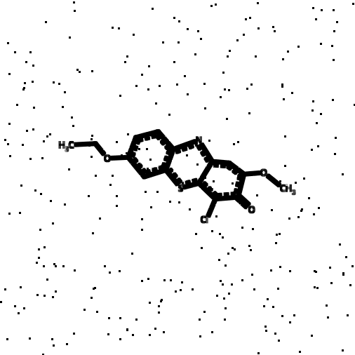 CCOc1ccc2nc3cc(OC)c(=O)c(Cl)c-3sc2c1